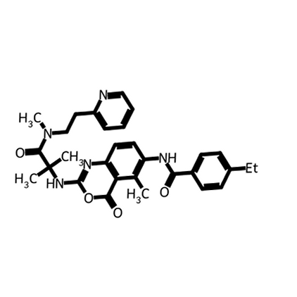 CCc1ccc(C(=O)Nc2ccc3nc(NC(C)(C)C(=O)N(C)CCc4ccccn4)oc(=O)c3c2C)cc1